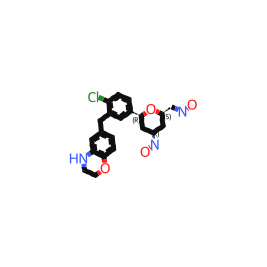 O=NC[C@@H]1C[C@H](N=O)C[C@H](c2ccc(Cl)c(Cc3ccc4c(c3)NCCO4)c2)O1